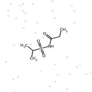 CCC(=O)NS(=O)(=O)C(C)C